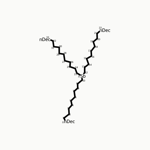 CCCCCCCCCCCCCCCCCCC[CH2][Sb]([CH2]CCCCCCCCCCCCCCCCCCC)[CH2]CCCCCCCCCCCCCCCCCCC